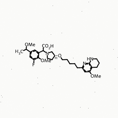 COc1cc(CCCCCO[C@@H]2CCN(C(C(=O)O)c3cc(C(C)OC)cc(F)c3OC)C2)nc2c1CCCN2